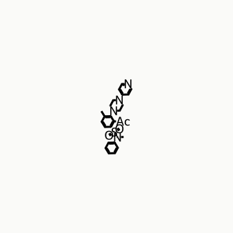 CC(=O)c1c(S(=O)(=O)N(C)c2ccccc2)ccc(C)c1N1CCN(c2ccncc2)CC1